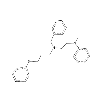 CN(CCN(CCCSc1ccccc1)Cc1ccccc1)c1ccccc1